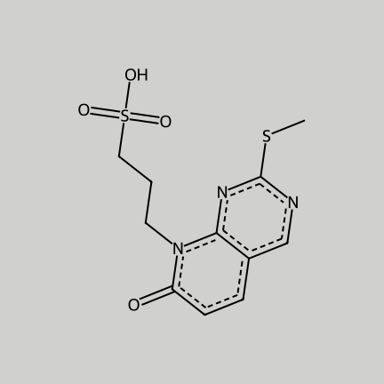 CSc1ncc2ccc(=O)n(CCCS(=O)(=O)O)c2n1